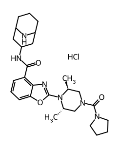 C[C@H]1CN(C(=O)N2CCCC2)C[C@H](C)N1c1nc2c(C(=O)NC3CC4CCCC(C3)N4)cccc2o1.Cl